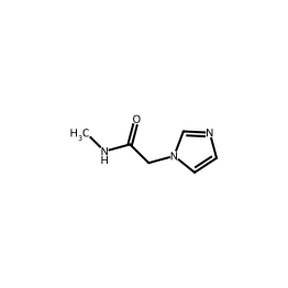 CNC(=O)Cn1ccnc1